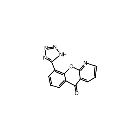 O=c1c2cccnc2oc2c(-c3nnn[nH]3)cccc12